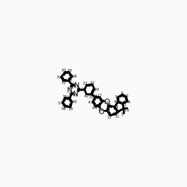 CC1(C)c2ccccc2-c2c1ccc1c2Oc2cc(C3=CC=CC(c4nc(-c5ccccc5)nc(-c5ccccc5)n4)C3)ccc2O1